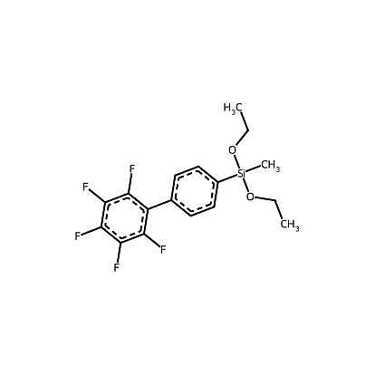 CCO[Si](C)(OCC)c1ccc(-c2c(F)c(F)c(F)c(F)c2F)cc1